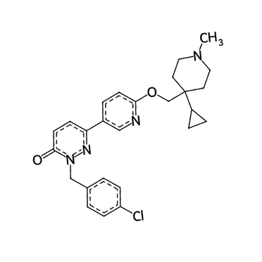 CN1CCC(COc2ccc(-c3ccc(=O)n(Cc4ccc(Cl)cc4)n3)cn2)(C2CC2)CC1